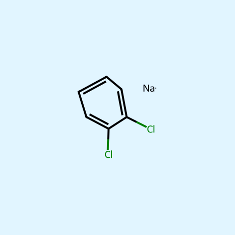 Clc1ccccc1Cl.[Na]